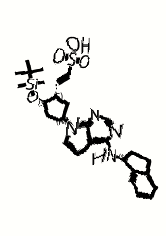 CC(C)(C)[Si](C)(C)O[C@H]1C[C@H](n2ccc3c(N[C@H]4CCc5ccccc54)ncnc32)C[C@H]1C=CS(=O)(=O)O